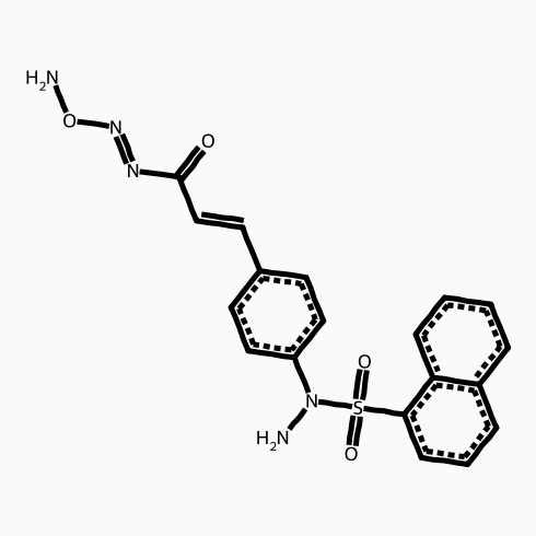 NON=NC(=O)/C=C/c1ccc(N(N)S(=O)(=O)c2cccc3ccccc23)cc1